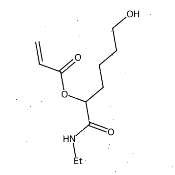 C=CC(=O)OC(CCCCO)C(=O)NCC